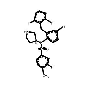 Cc1ccc(S(=O)(=O)N(c2ccc(Cl)cc2Cc2c(F)cccc2F)[C@H]2CCNC2)cc1F